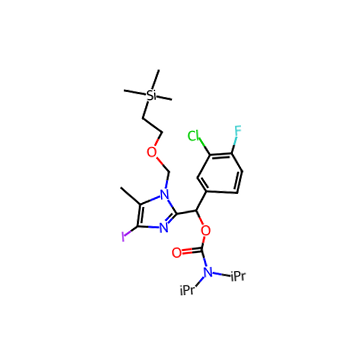 Cc1c(I)nc(C(OC(=O)N(C(C)C)C(C)C)c2ccc(F)c(Cl)c2)n1COCC[Si](C)(C)C